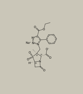 CCOC(=O)c1nnn(C[C@@]2(C)[C@H](C(=O)[O-])N3C(=O)C[C@H]3S2(=O)=O)c1-c1ccccc1.[Na+]